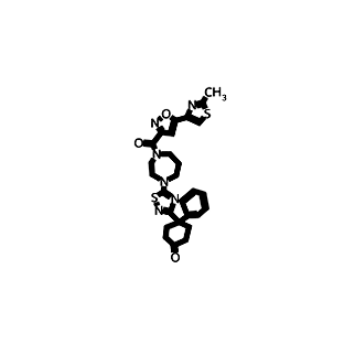 Cc1nc(-c2cc(C(=O)N3CCCN(c4nc(C5(c6ccccc6)CCC(=O)CC5)ns4)CC3)no2)cs1